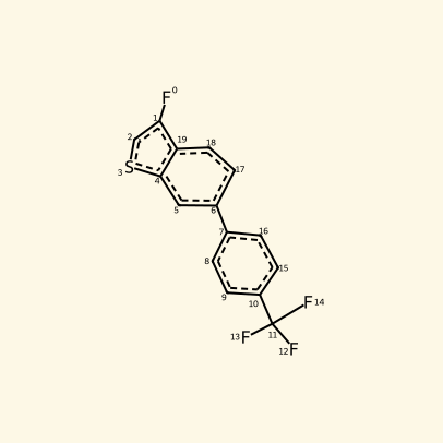 Fc1[c]sc2cc(-c3ccc(C(F)(F)F)cc3)ccc12